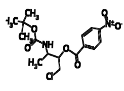 CC(NC(=O)OC(C)(C)C)C(CCl)OC(=O)c1ccc([N+](=O)[O-])cc1